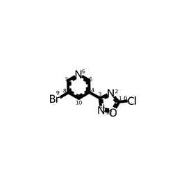 Clc1nc(-c2cncc(Br)c2)no1